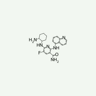 NC(=O)c1cc(F)c(NC2CCCCC2N)nc1Nc1cccc2ncccc12